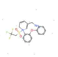 NCC1=C[N+](c2ccccc2Oc2ccccc2)(S(=O)(=O)CC(F)(F)F)CC=C1